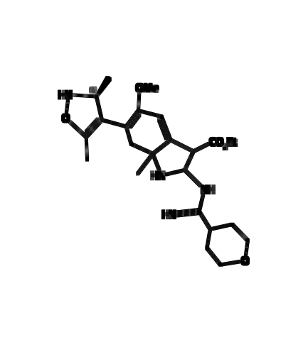 CCOC(=O)C1C2=CC(OC)=C(C3=C(C)ON[C@H]3C)CC2(C)NC1NC(=N)C1CCOCC1